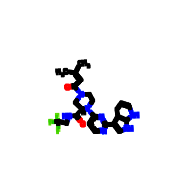 CC(C)=CC(=O)N1CCN(c2ccnc(C3=CNC4NC=CCC34)n2)[C@@H](C(=O)NCC(F)(F)F)C1